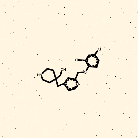 OCC1(Cc2ccnc(COc3ccc(Cl)cc3Cl)c2)CCNCC1